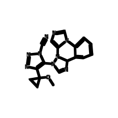 COC1(c2nnn(C#N)c2N2C=NC3c4ccccc4-n4cncc4N32)CC1